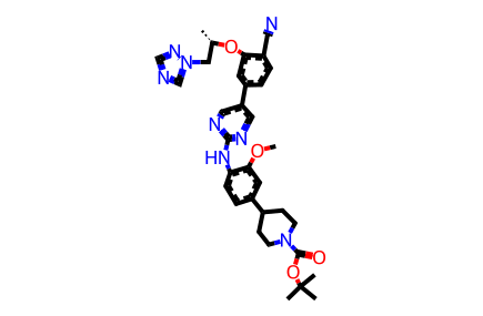 COc1cc(C2CCN(C(=O)OC(C)(C)C)CC2)ccc1Nc1ncc(-c2ccc(C#N)c(O[C@@H](C)Cn3cncn3)c2)cn1